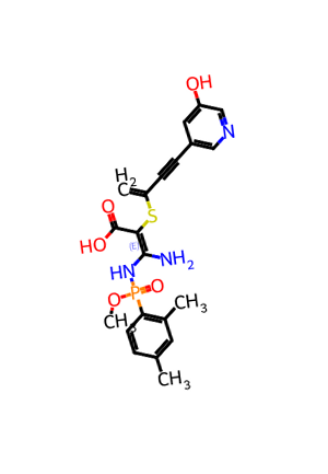 C=C(C#Cc1cncc(O)c1)S/C(C(=O)O)=C(\N)NP(=O)(OC)c1ccc(C)cc1C